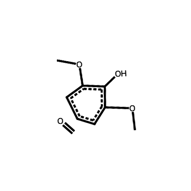 C=O.COc1cccc(OC)c1O